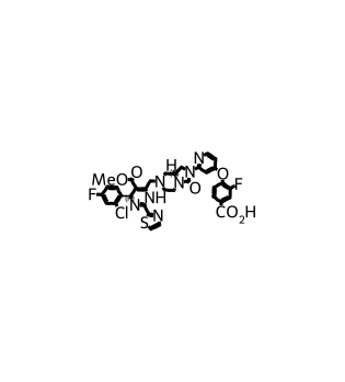 COC(=O)C1=C(CN2CCN3C(=O)N(c4cc(Oc5ccc(C(=O)O)cc5F)ccn4)C[C@@H]3C2)NC(c2nccs2)=N[C@H]1c1ccc(F)cc1Cl